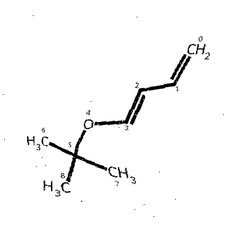 C=CC=COC(C)(C)C